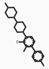 Cc1ccc(-c2ccc(C3CCC(C4CCC(C)CC4)CC3)c(F)c2C)cc1